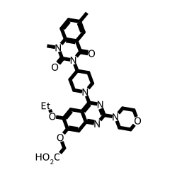 CCOc1cc2c(N3CCC(n4c(=O)c5cc(C)ccc5n(C)c4=O)CC3)nc(N3CCOCC3)nc2cc1OCC(=O)O